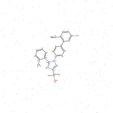 COc1ccc(Cl)cc1-c1ccc(-n2cc(C(C)(C)O)nc2-c2ccccc2C(F)(F)F)cc1